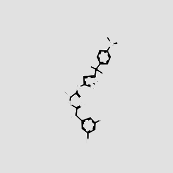 C[C@H](NC(=O)[C@@H](O)c1cc(F)cc(F)c1)C(=O)Nc1cc(C(C)(C)c2ccc(N(C)C)cc2)n[nH]1